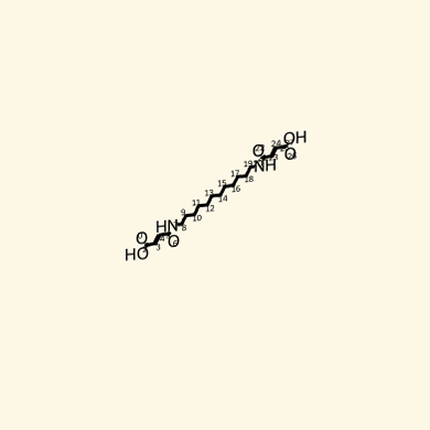 O=C(O)C=CC(=O)NCCCCCCCCCCCCNC(=O)C=CC(=O)O